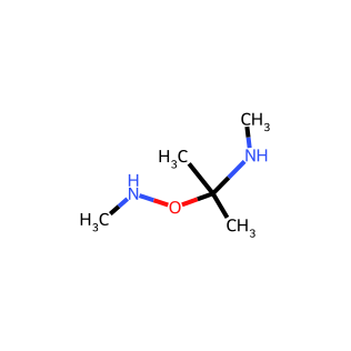 CNOC(C)(C)NC